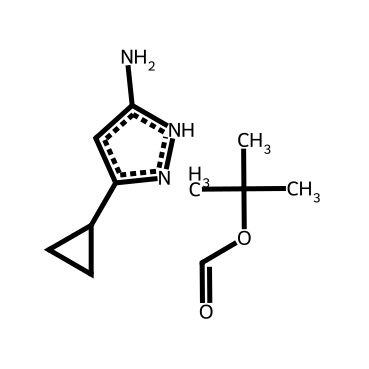 CC(C)(C)OC=O.Nc1cc(C2CC2)n[nH]1